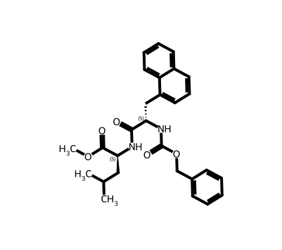 COC(=O)[C@H](CC(C)C)NC(=O)[C@H](Cc1cccc2ccccc12)NC(=O)OCc1ccccc1